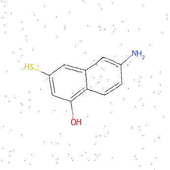 Nc1ccc2c(O)cc(S)cc2c1